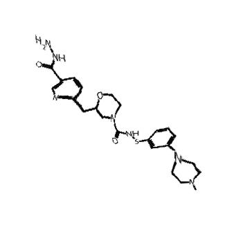 CN1CCN(c2cccc(SNC(=O)N3CCOC(Cc4ccc(C(=O)NN)cn4)C3)c2)CC1